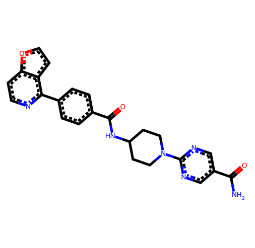 NC(=O)c1cnc(N2CCC(NC(=O)c3ccc(-c4nccc5occc45)cc3)CC2)nc1